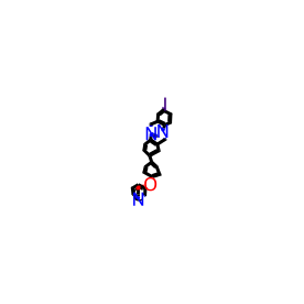 Ic1ccc2c(c1)CN1CN2Cc2cc(-c3ccc(OC4CN5CCC4CC5)cc3)ccc21